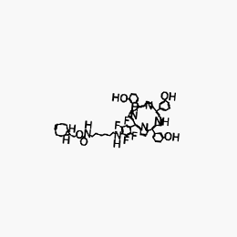 O=C(NCCCCCCNc1c(F)c(F)c(-c2c3nc(c(-c4cccc(O)c4)c4ccc([nH]4)c(-c4cccc(O)c4)c4nc(c(-c5cccc(O)c5)c5ccc2[nH]5)C=C4)C=C3)c(F)c1F)OC[C@@H]1[C@@H]2CCC#CCC[C@@H]21